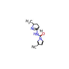 CC1CC2CCN1C[C@@H]2NC(=O)n1ccc(C#N)c1